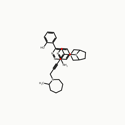 CC1CCCCCN1CC#Cc1cc(N2C3CCC2CN(c2cc(-c4ccccc4O)nnc2N)C3)ccn1